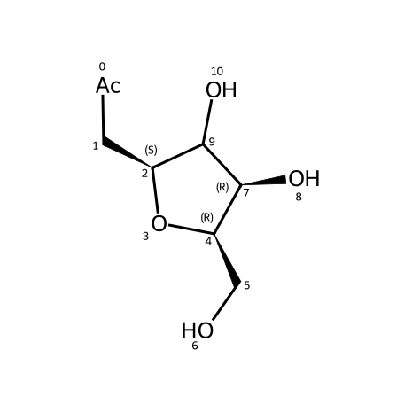 CC(=O)C[C@@H]1O[C@H](CO)[C@H](O)C1O